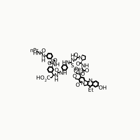 CCCNC(=O)Nc1cccc(S(=O)(=O)Nc2cccc(C(CC(=O)O)NC(=O)Nc3ccc(NC(=S)NCC(=O)N4CCC[C@H]4C(=O)N[C@H](C(=O)O[C@]4(CC)C(=O)OCc5c4cc4n(c5=O)Cc5c-4nc4ccc(O)cc4c5CC)C(C)C)cc3)c2)c1